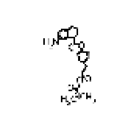 CN(C)C(=O)COC(=O)CCc1ccc(OC(=O)C2CCCc3ccc(N)cc32)cc1